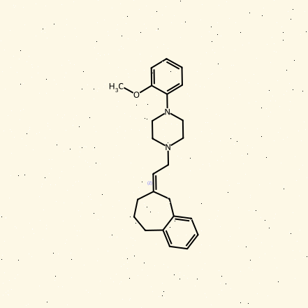 COc1ccccc1N1CCN(C/C=C2/CCCc3ccccc3C2)CC1